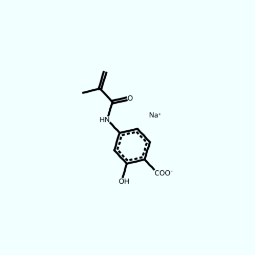 C=C(C)C(=O)Nc1ccc(C(=O)[O-])c(O)c1.[Na+]